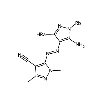 Cc1nn(C)c(N=Nc2[c]([RaH])n[n]([Rb])c2N)c1C#N